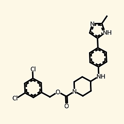 Cc1ncc(-c2ccc(NC3CCN(C(=O)OCc4cc(Cl)cc(Cl)c4)CC3)cc2)[nH]1